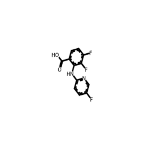 O=C(O)c1ccc(F)c(F)c1Nc1ccc(F)cn1